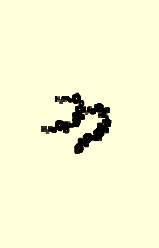 CCCc1cccc(OC2CCN(S(=O)(=O)c3ccc(CNC(=O)c4cccc(OC)c4)s3)CC2)c1.COc1cccc(C(=O)NCc2ccc(S(=O)(=O)N3CCC(Nc4cccc(S(=O)(=O)N5CCOCC5)c4)CC3)s2)c1